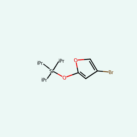 CC(C)[Si](Oc1cc(Br)co1)(C(C)C)C(C)C